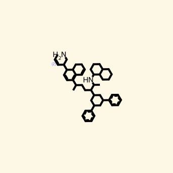 C/C=C\C(CN)C1C=CC(C(C)CCC(C2CC(c3ccccc3)CC(c3ccccc3)C2)C(C)NC2CCCC3CCCCC32)=C2C=CCCC21